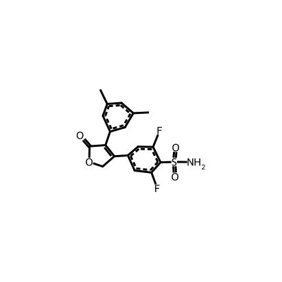 Cc1cc(C)cc(C2=C(c3cc(F)c(S(N)(=O)=O)c(F)c3)COC2=O)c1